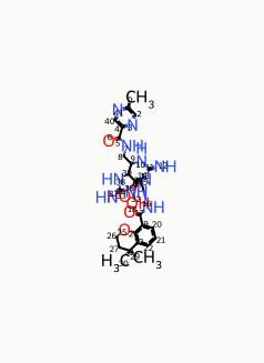 Cc1cnc(C(=O)NCC2NC(=N)N3CC(NC(=O)c4cccc5c4OCCC5(C)C)C(O)(O)[C@@]34NC(=N)NC24)cn1